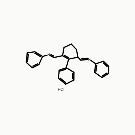 C(=Nc1ccccc1)C1=C(c2ccccc2)C(C=Nc2ccccc2)CCC1.Cl